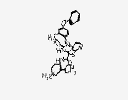 Cc1cc(Oc2ccccc2)ccc1N1C(=O)Nc2c(C(=O)NC3CCN(C)CC3C)sc3nccc1c23